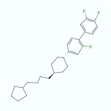 Fc1ccc(-c2ccc([C@H]3CC[C@H](CCCCC4CCCC4)CC3)cc2F)cc1F